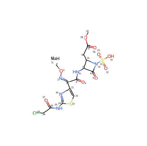 CON=C(C(=O)NC1C(=O)N(S(=O)(=O)O)C1CC(=O)OC)c1csc(NC(=O)CCl)n1.[NaH]